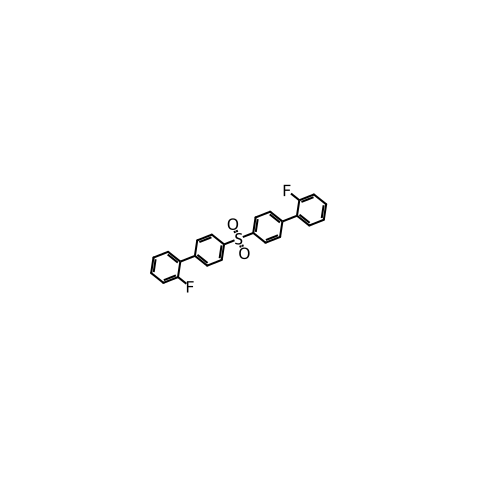 O=S(=O)(c1ccc(-c2ccccc2F)cc1)c1ccc(-c2ccccc2F)cc1